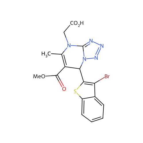 COC(=O)C1=C(C)N(CC(=O)O)c2nnnn2C1c1sc2ccccc2c1Br